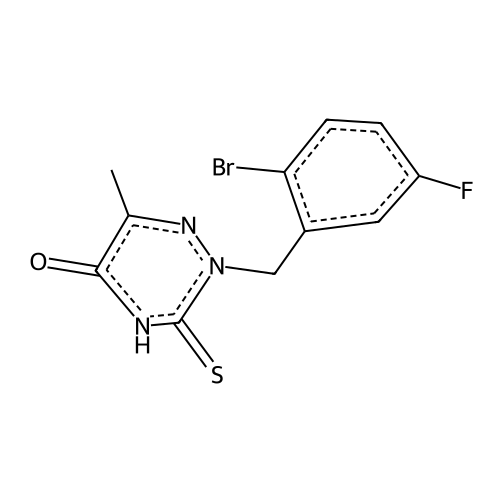 Cc1nn(Cc2cc(F)ccc2Br)c(=S)[nH]c1=O